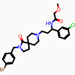 COCC(=O)NC(CCN1CCC2(CC1)CCN(Cc1ccc(Br)cc1)C2=O)c1cccc(Cl)c1